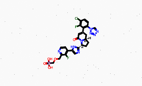 O=C1C=C(c2c(-n3cnnn3)ccc(Cl)c2F)C[C@H]2CC[C@H](c3ncc(-c4ccnc(COCP(=O)(O)O)c4F)[nH]3)N12